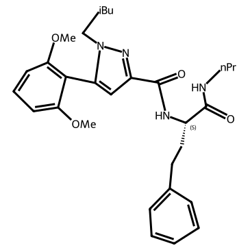 CCCNC(=O)[C@H](CCc1ccccc1)NC(=O)c1cc(-c2c(OC)cccc2OC)n(CC(C)CC)n1